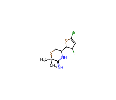 CC1(C)SC[C@@H](C2SC(Br)=CC2F)NC1=N